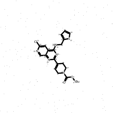 CC(C)(C)OC(=O)N1CC=C(c2nc(NCc3cccs3)c3cc(Cl)ncc3n2)CC1